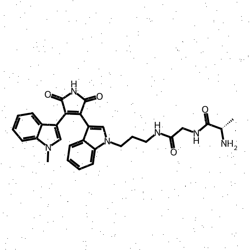 C[C@H](N)C(=O)NCC(=O)NCCCn1cc(C2=C(c3cn(C)c4ccccc34)C(=O)NC2=O)c2ccccc21